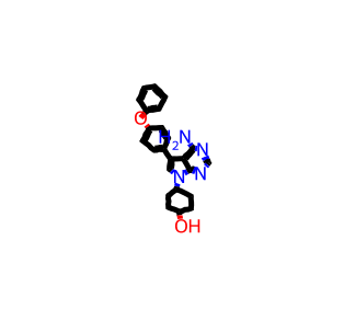 Nc1ncnc2c1c(-c1ccc(Oc3ccccc3)cc1)cn2C1CCC(O)CC1